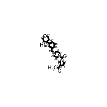 CC(=O)c1ccn(C(=O)N2CCN(Cc3cccc(C4(O)CCOCC4)c3)CC2)n1